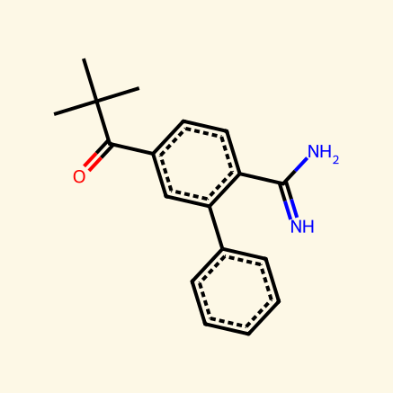 CC(C)(C)C(=O)c1ccc(C(=N)N)c(-c2ccccc2)c1